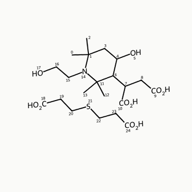 CC1(C)CC(O)C(C(CC(=O)O)C(=O)O)C(C)(C)N1CCO.O=C(O)CCSCCC(=O)O